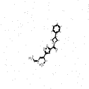 C=N/C(=C\N=C/C)c1cc(C(=O)N2CC(c3ccccc3)C2)no1